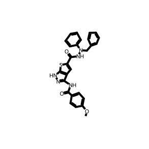 COc1ccc(C(=O)Nc2n[nH]c3sc(C(=O)NN(Cc4ccccc4)c4ccccc4)cc23)cc1